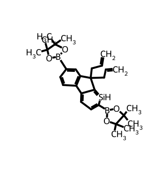 C=CCC1(CC=C)c2cc(B3OC(C)(C)C(C)(C)O3)ccc2-c2ccc(B3OC(C)(C)C(C)(C)O3)[siH]c21